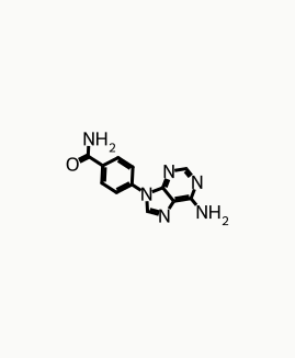 NC(=O)c1ccc(-n2cnc3c(N)ncnc32)cc1